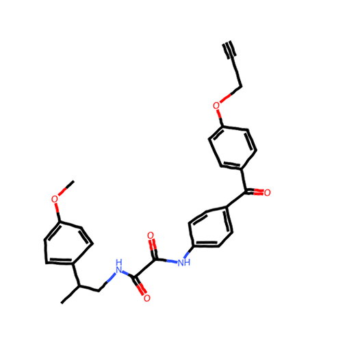 C#CCOc1ccc(C(=O)c2ccc(NC(=O)C(=O)NCC(C)c3ccc(OC)cc3)cc2)cc1